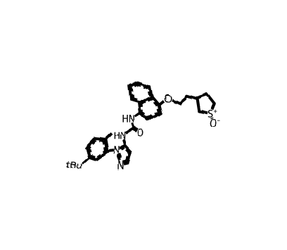 Cc1ccc(C(C)(C)C)cc1-n1nccc1NC(=O)Nc1ccc(OCCC2CC[S+]([O-])C2)c2ccccc12